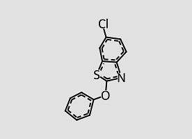 Clc1ccc2nc(Oc3ccccc3)sc2c1